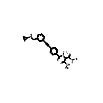 CNC(=O)C(C(=O)NO)N(C)C(=O)c1ccc(C#Cc2cccc(CNC3CC3)c2)cc1